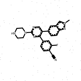 Cn1cc2cc(-c3cnc(N4CCNCC4)nc3-c3ccc(C#N)c(F)c3)ccc2n1